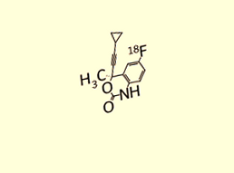 C[C@@]1(C#CC2CC2)OC(=O)Nc2ccc([18F])cc21